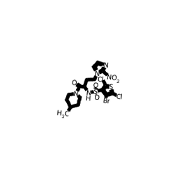 CC1CCN(C(=O)C(CCn2ccnc2[N+](=O)[O-])NS(=O)(=O)c2c(Cl)sc(Cl)c2Br)CC1